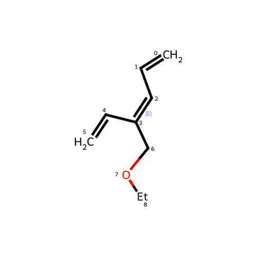 C=C/C=C(\C=C)COCC